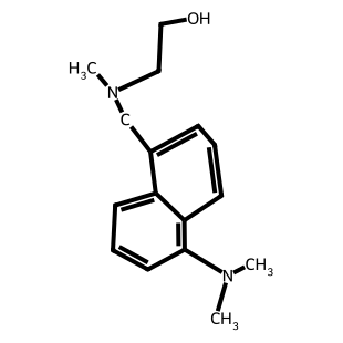 CN(CCO)Cc1cccc2c(N(C)C)cccc12